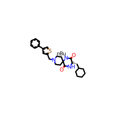 CCCCN1C(=O)[C@H](CC2CCCCC2)NC(=O)C12CCN(Cc1cc(-c3ccccc3)cs1)CC2